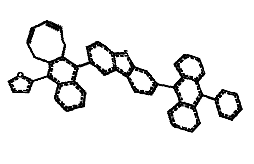 C1=C\Cc2c(c(-c3ccco3)c3ccccc3c2-c2ccc3sc4cc(-c5c6ccccc6c(-c6ccccc6)c6ccccc56)ccc4c3c2)C\C=C/1